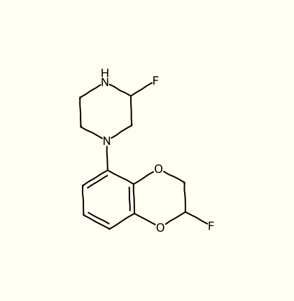 FC1CN(c2cccc3c2OCC(F)O3)CCN1